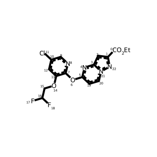 CCOC(=O)c1cc2nc(Oc3ncc(Cl)cc3OCC(F)F)ccn2n1